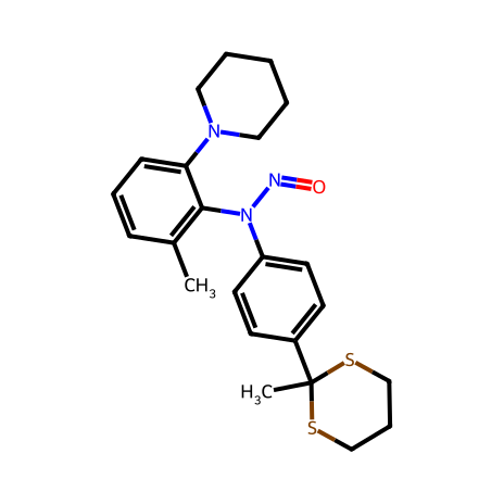 Cc1cccc(N2CCCCC2)c1N(N=O)c1ccc(C2(C)SCCCS2)cc1